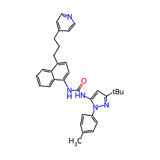 Cc1ccc(-n2nc(C(C)(C)C)cc2NC(=O)Nc2ccc(CCCc3ccncc3)c3ccccc23)cc1